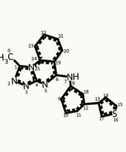 Cc1nnc2nc(Nc3cccc(-c4ccsc4)c3)c3ccccc3n12